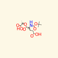 C[C@H](OC(=O)[C@H](CCC(=O)O)NC(=O)OC(C)(C)C)C(=O)O